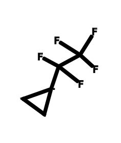 FC(F)(F)C(F)(F)[C]1CC1